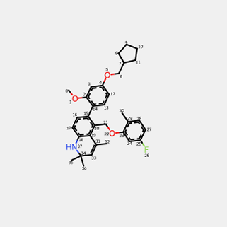 COc1cc(OCC2CCCC2)ccc1-c1ccc2c(c1COc1cc(F)ccc1C)C(C)=CC(C)(C)N2